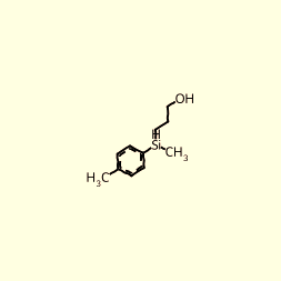 Cc1ccc([SiH](C)CCCO)cc1